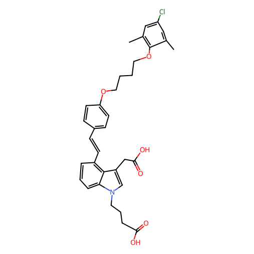 Cc1cc(Cl)cc(C)c1OCCCCOc1ccc(C=Cc2cccc3c2c(CC(=O)O)cn3CCCC(=O)O)cc1